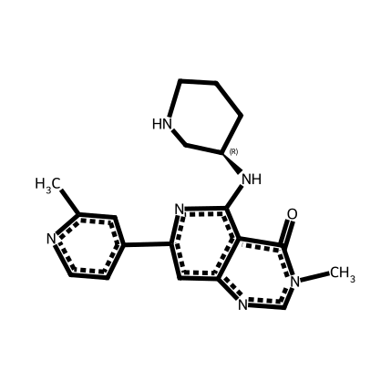 Cc1cc(-c2cc3ncn(C)c(=O)c3c(N[C@@H]3CCCNC3)n2)ccn1